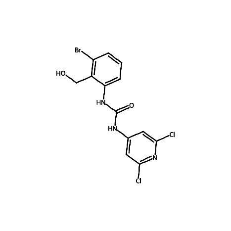 O=C(Nc1cc(Cl)nc(Cl)c1)Nc1cccc(Br)c1CO